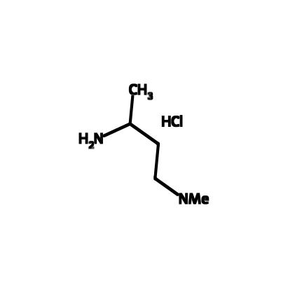 CNCCC(C)N.Cl